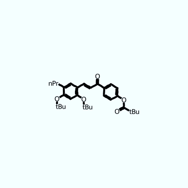 CCCc1cc(C=CC(=O)c2ccc(OC(=O)C(C)(C)C)cc2)c(OC(C)(C)C)cc1OC(C)(C)C